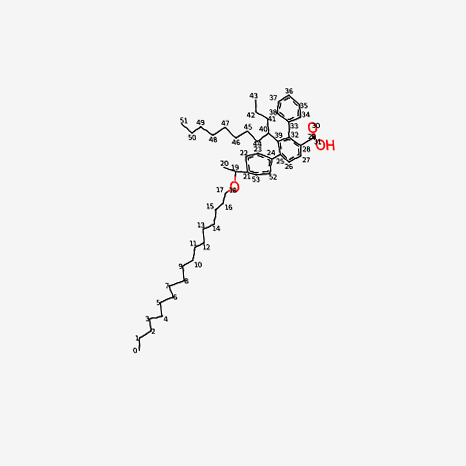 CCCCCCCCCCCCCCCCCCOC(C)c1ccc(-c2ccc(C(=O)O)c(-c3ccccc3)c2C(CCC)CCCCCCCC)cc1